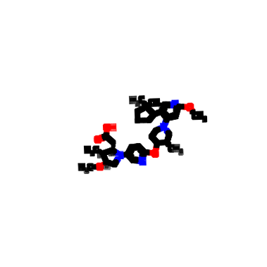 COc1cc(N2CCC(Oc3ccc(N4C[C@H](OC)[C@@H](C)[C@@H]4CC(=O)O)cn3)C(C)C2)c(C2CCCC2(C)C)cn1